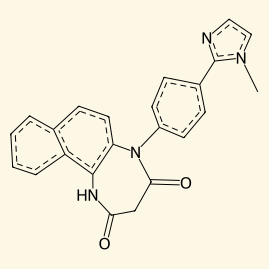 Cn1ccnc1-c1ccc(N2C(=O)CC(=O)Nc3c2ccc2ccccc32)cc1